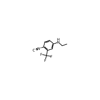 [C-]#[N+]c1ccc(NCC)cc1C(F)(F)F